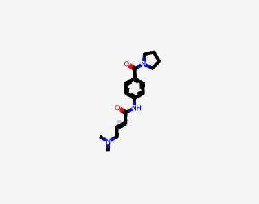 CN(C)C/C=C/C(=O)Nc1ccc(C(=O)N2CCCC2)cc1